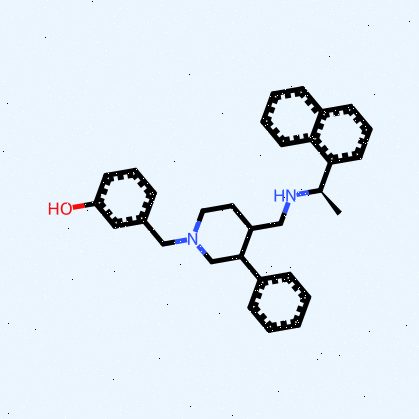 C[C@@H](NCC1CCN(Cc2cccc(O)c2)CC1c1ccccc1)c1cccc2ccccc12